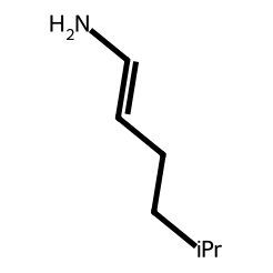 CC(C)CCC=CN